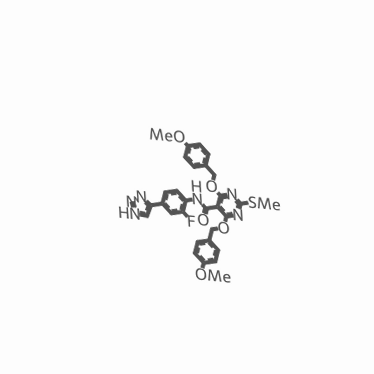 COc1ccc(COc2nc(SC)nc(OCc3ccc(OC)cc3)c2C(=O)Nc2ccc(-c3c[nH]nn3)cc2F)cc1